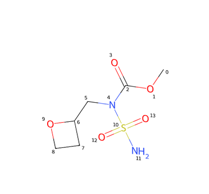 COC(=O)N(CC1CCO1)S(N)(=O)=O